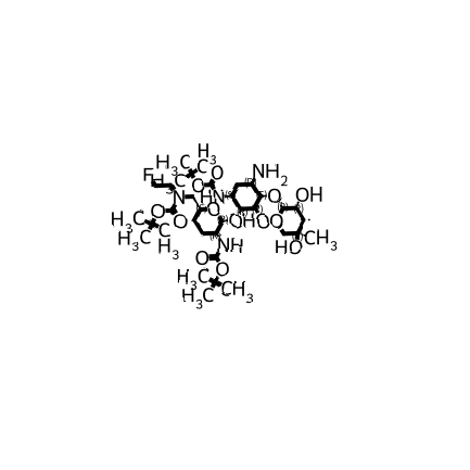 CC(C)(C)OC(=O)N[C@H]1C[C@@H](N)[C@H](O[C@H]2OC[C@](C)(O)[CH][C@H]2O)[C@@H](O)[C@@H]1O[C@H]1O[C@H](CN(CCF)C(=O)OC(C)(C)C)CC[C@H]1NC(=O)OC(C)(C)C